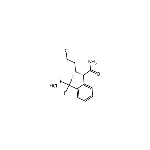 Cl.NC(=O)[C@@H](CCCCl)c1ccccc1C(F)(F)F